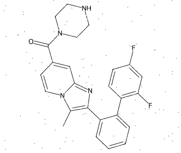 Cc1c(-c2ccccc2-c2ccc(F)cc2F)nc2cc(C(=O)N3CCNCC3)ccn12